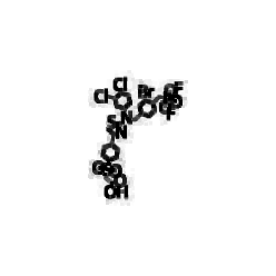 O=C(O)CS(=O)(=O)c1ccc(-c2csc(N(Cc3ccc(CP(=O)(OF)OF)c(Br)c3)c3ccc(Cl)c(Cl)c3)n2)cc1